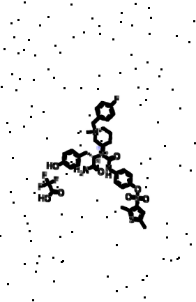 Cc1cc(S(=O)(=O)Oc2ccc(NC(=O)/[N+](=C3\CCC[N+](C)(Cc4ccc(F)cc4)C3)[C@@H](Cc3ccc(O)cc3)C(N)=O)cc2)c(C)s1.O=C(O)C(F)(F)F